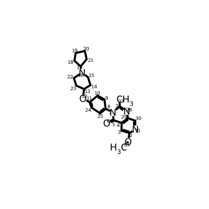 COc1cc2c(=O)n(-c3ccc(OC4CCN(C5CCCC5)CC4)cc3)c(C)nc2cn1